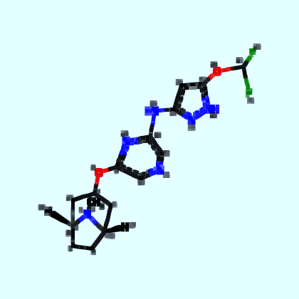 CN1[C@@H]2CC[C@H]1CC(Oc1cncc(Nc3cc(OC(F)F)[nH]n3)n1)C2